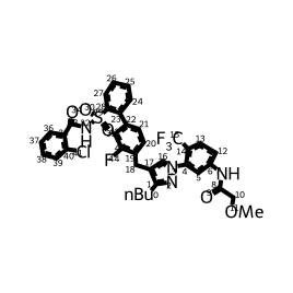 CCCCc1nn(-c2cc(NC(=O)COC)ccc2C(F)(F)F)cc1Cc1ccc(-c2ccccc2S(=O)(=O)NC(=O)c2ccccc2Cl)cc1F